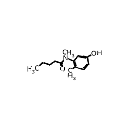 CCCCC(=O)N(C)c1cc(O)ccc1C